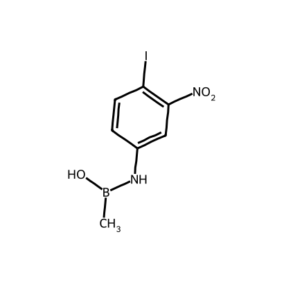 CB(O)Nc1ccc(I)c([N+](=O)[O-])c1